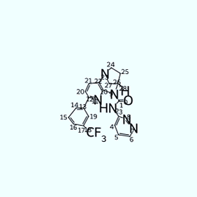 O=C(Nc1cccnn1)N1c2nc(-c3cccc(C(F)(F)F)c3)ccc2N2CC[C@H]1C2